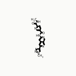 CNC(=O)c1ccc(C(=O)Nc2cc3cc(-c4cn(C)nn4)ncc3cn2)cn1